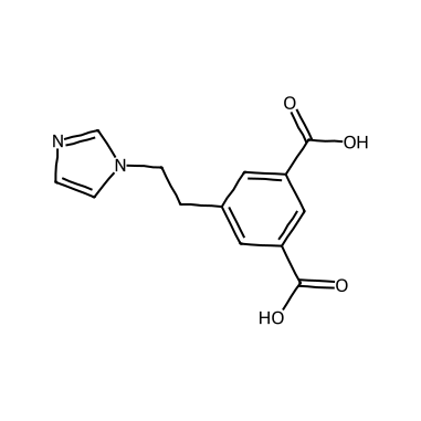 O=C(O)c1cc(CCn2ccnc2)cc(C(=O)O)c1